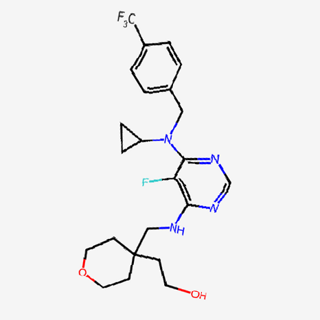 OCCC1(CNc2ncnc(N(Cc3ccc(C(F)(F)F)cc3)C3CC3)c2F)CCOCC1